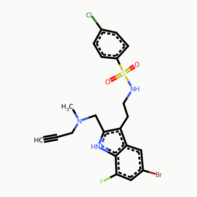 C#CCN(C)Cc1[nH]c2c(F)cc(Br)cc2c1CCNS(=O)(=O)c1ccc(Cl)cc1